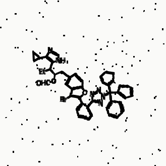 CCC(c1[nH]cnc1C1CC1)C(Cc1ccc2oc(-c3ccccc3-c3nnn(C(c4ccccc4)(c4ccccc4)c4ccccc4)n3)c(Br)c2c1)OC=O